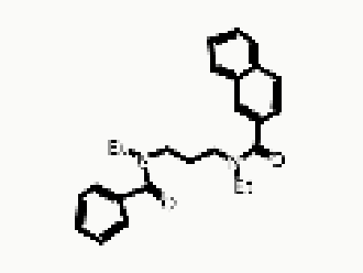 CCN(CCCN(CC)C(=O)c1ccc2ccccc2c1)C(=O)c1ccccc1